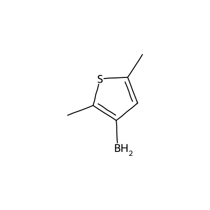 Bc1cc(C)sc1C